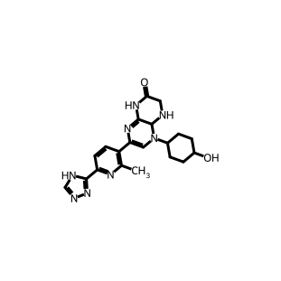 Cc1nc(-c2nnc[nH]2)ccc1C1=CN(C2CCC(O)CC2)C2NCC(=O)NC2=N1